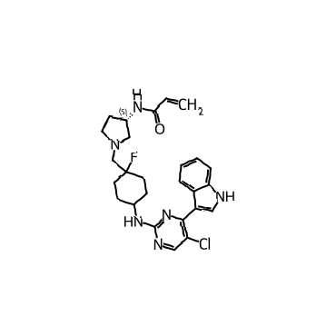 C=CC(=O)N[C@H]1CCN(CC2(F)CCC(Nc3ncc(Cl)c(-c4c[nH]c5ccccc45)n3)CC2)C1